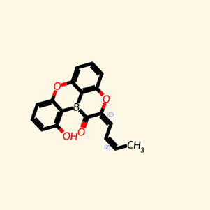 C/C=C\C=C1\Oc2cccc3c2B(C1=O)c1c(O)cccc1O3